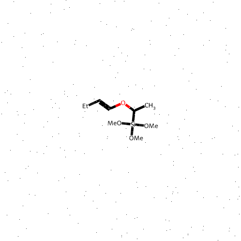 CCC=COC(C)[Si](OC)(OC)OC